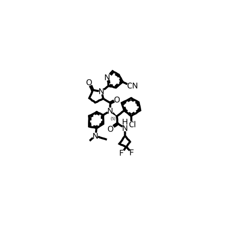 CN(C)c1cccc(N(C(=O)C2CCC(=O)N2c2cc(C#N)ccn2)[C@H](C(=O)NC2CC(F)(F)C2)c2ccccc2Cl)c1